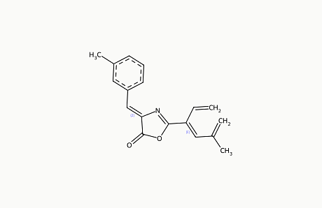 C=C/C(=C\C(=C)C)C1=N/C(=C\c2cccc(C)c2)C(=O)O1